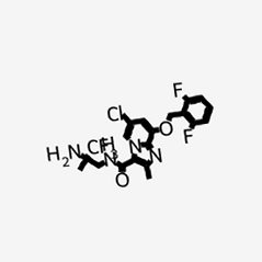 Cc1nc2c(OCc3c(F)cccc3F)cc(Cl)cn2c1C(=O)NCC(C)(N)C(F)(F)F